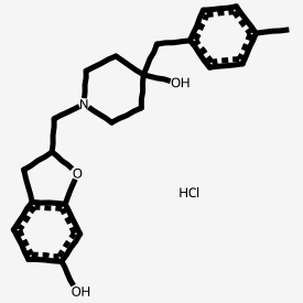 Cc1ccc(CC2(O)CCN(CC3Cc4ccc(O)cc4O3)CC2)cc1.Cl